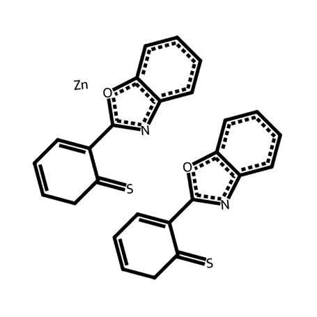 S=C1CC=CC=C1c1nc2ccccc2o1.S=C1CC=CC=C1c1nc2ccccc2o1.[Zn]